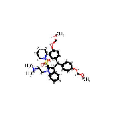 COCOc1ccc(C(c2ccc(OCOC)cc2)c2c(S(=O)(=O)N3CCCCC3)n(CCN(C)C)c3ccccc23)cc1